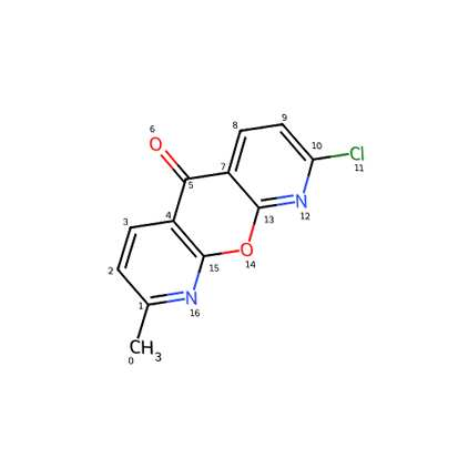 Cc1ccc2c(=O)c3ccc(Cl)nc3oc2n1